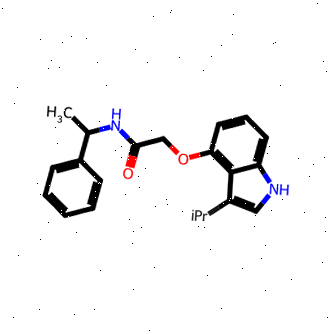 CC(C)c1c[nH]c2cccc(OCC(=O)NC(C)c3ccccc3)c12